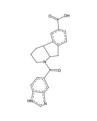 O=C(O)c1ccc2c(c1)C1CCCN(C(=O)c3ccc4[nH]cnc4c3)C1C2